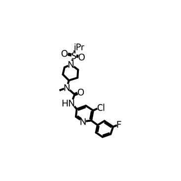 CC(C)S(=O)(=O)N1CCC(N(C)C(=O)Nc2cnc(-c3cccc(F)c3)c(Cl)c2)CC1